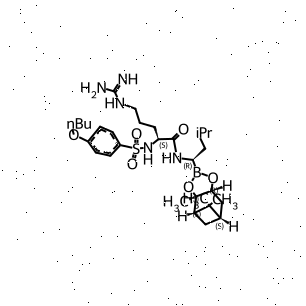 CCCCOc1ccc(S(=O)(=O)N[C@@H](CCCNC(=N)N)C(=O)N[C@@H](CC(C)C)B2O[C@@H]3C[C@@H]4C[C@@H](C4(C)C)[C@]3(C)O2)cc1